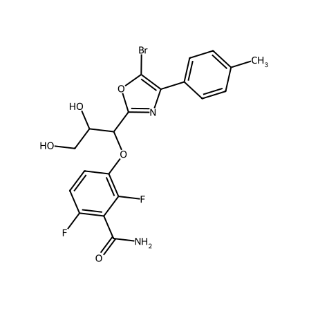 Cc1ccc(-c2nc(C(Oc3ccc(F)c(C(N)=O)c3F)C(O)CO)oc2Br)cc1